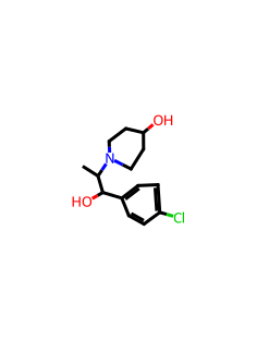 CC(C(O)c1ccc(Cl)cc1)N1CCC(O)CC1